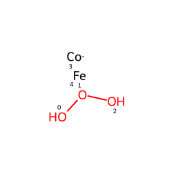 OOO.[Co].[Fe]